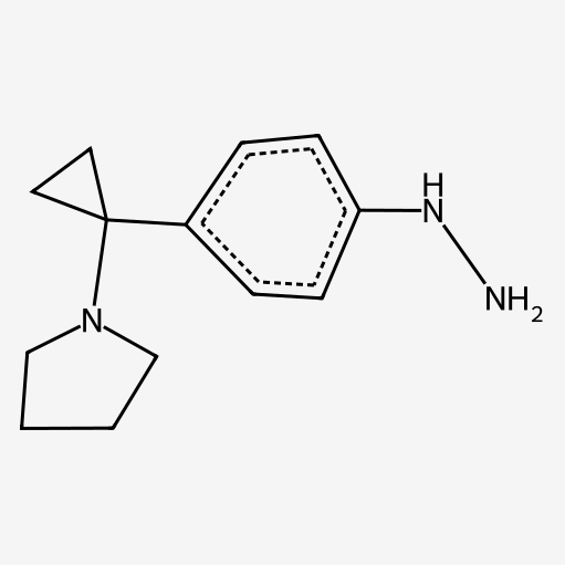 NNc1ccc(C2(N3CCCC3)CC2)cc1